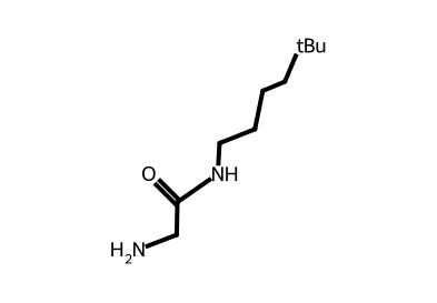 CC(C)(C)CCCCNC(=O)CN